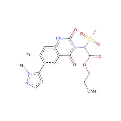 CCc1cc2[nH]c(=O)n(N(C(=O)OCCOC)S(C)(=O)=O)c(=O)c2cc1-c1ccnn1CC